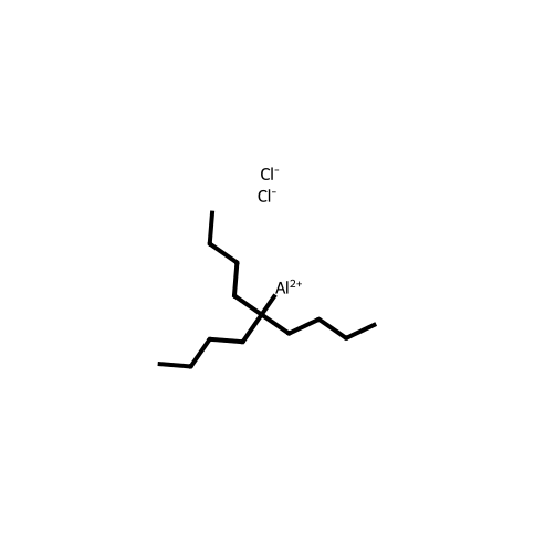 CCCC[C]([Al+2])(CCCC)CCCC.[Cl-].[Cl-]